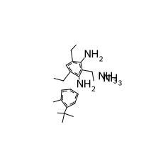 CCc1cc(CC)c(N)c(CC)c1N.Cc1ccccc1C(C)(C)C.N.N